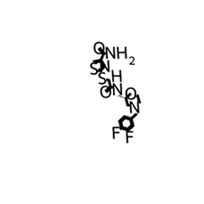 NC(=O)c1csc(SCC(=O)NC[C@H]2CN(Cc3ccc(F)c(F)c3)CCO2)n1